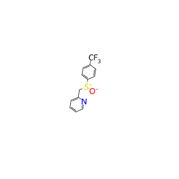 [O-][S+](Cc1ccccn1)c1ccc(C(F)(F)F)cc1